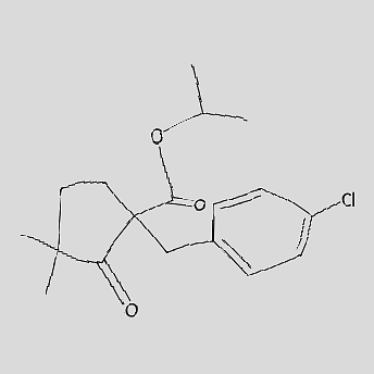 CC(C)OC(=O)C1(Cc2ccc(Cl)cc2)CCC(C)(C)C1=O